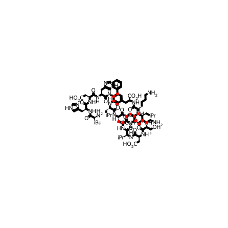 CC[C@H](C)[C@H](N)C(=O)N[C@@H](Cc1c[nH]cn1)C(=O)N[C@@H](CC(=O)O)C(=O)N[C@@H](Cc1c[nH]cn1)C(=O)N[C@@H](Cc1ccccc1)C(=O)N[C@@H](CC(C)C)C(=O)N[C@@H](CC(=O)O)C(=O)NCC(=O)N[C@@H](CC(C)C)C(=O)N[C@H](C(=O)N[C@@H](CC(=O)O)C(=O)N[C@H](C(=O)N[C@@H](C)C(=O)N[C@@H](CCCCN)C(=O)N[C@@H](CCCCN)C(=O)N[C@@H](Cc1ccccc1)C(=O)O)C(C)C)[C@@H](C)O